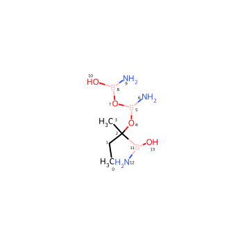 CCC(C)(OB(N)OB(N)O)B(N)O